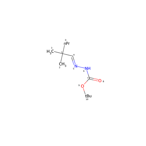 CCCC(C)(C)C=NNC(=O)OC(C)(C)C